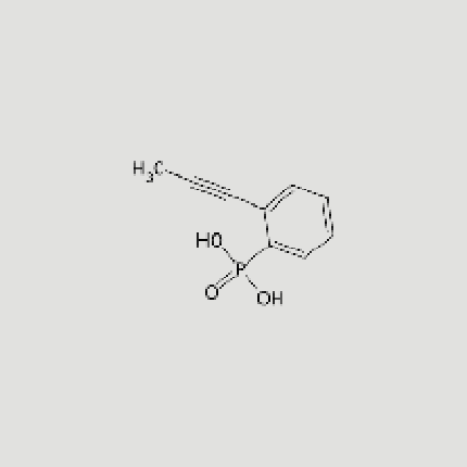 CC#Cc1ccccc1P(=O)(O)O